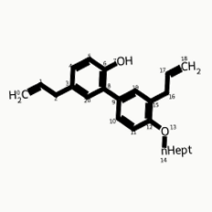 C=CCc1ccc(O)c(-c2ccc(OCCCCCCC)c(CC=C)c2)c1